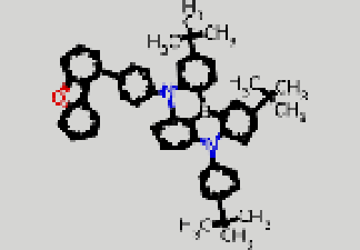 CC(C)(C)c1ccc(N2c3ccc(C(C)(C)C)cc3B3c4ccc(C(C)(C)C)cc4N(c4ccc(-c5cccc6oc7ccccc7c56)cc4)c4cccc2c43)cc1